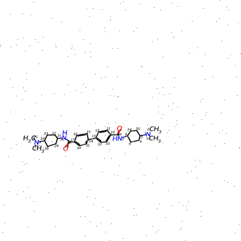 CN(C)C1CCC(NC(=O)c2ccc(-c3ccc(C(=O)NC4CCC(N(C)C)CC4)cc3)cc2)CC1